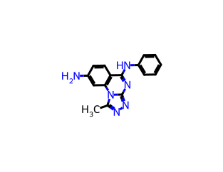 Cc1nnc2nc(Nc3ccccc3)c3ccc(N)cc3n12